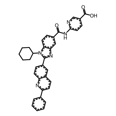 O=C(O)c1ccc(NC(=O)c2ccc3c(c2)nc(-c2ccc4nc(-c5ccccc5)ccc4c2)n3C2CCCCC2)nc1